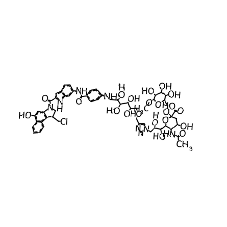 COC1OC(COC2(C(=O)O)CC(O)C(NC(C)=O)C(C(O)C(O)Cn3cc(COCC(O)C(O)C(O)C(O)CNc4ccc(C(=O)Nc5ccc6cc(C(=O)N7CC(CCl)c8c7cc(O)c7ccccc87)[nH]c6c5)cc4)nn3)O2)C(O)C(O)C1O